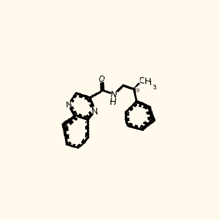 C[C@H](CNC(=O)c1cnc2ccccc2n1)c1ccccc1